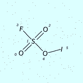 O=S(=O)(F)OI